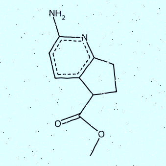 COC(=O)C1CCc2nc(N)ccc21